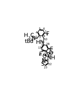 CN(Cc1cccc(F)c1CNc1cc(F)c(S(=O)(=O)Nc2ccsn2)c(F)c1)C(C)(C)C